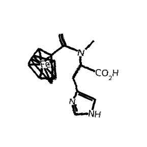 C=C(N(C)C(Cc1c[nH]cn1)C(=O)O)[C]12[CH]3[CH]4[CH]5[CH]1[Fe]45321678[CH]2[CH]1[CH]6[CH]7[CH]28